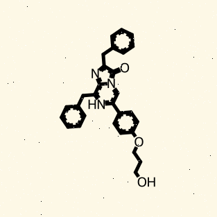 O=c1c(Cc2ccccc2)nc2c(Cc3ccccc3)[nH]c(-c3ccc(OCCCO)cc3)cn1-2